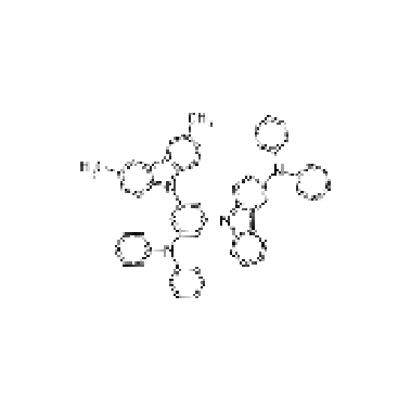 Cc1ccc2c(c1)c1cc(C)ccc1n2-c1cc(N(c2ccccc2)c2ccccc2)cc(-n2c3ccccc3c3cc(N(c4ccccc4)c4ccccc4)ccc32)c1